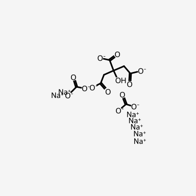 O=C([O-])CC(O)(CC(=O)[O-])C(=O)[O-].O=C([O-])[O-].O=C([O-])[O-].[Na+].[Na+].[Na+].[Na+].[Na+].[Na+].[Na+]